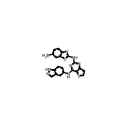 Bc1ccc2nc(Nc3nc(Nc4ccc5[nH]ncc5c4)c4sccc4n3)sc2c1